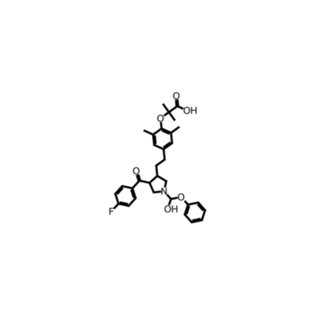 Cc1cc(CCC2CN(C(O)Oc3ccccc3)CC2C(=O)c2ccc(F)cc2)cc(C)c1OC(C)(C)C(=O)O